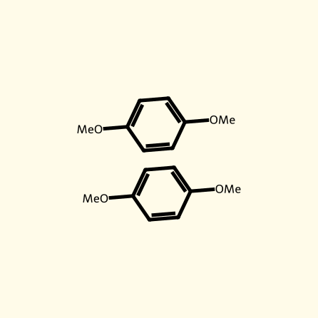 COc1ccc(OC)cc1.COc1ccc(OC)cc1